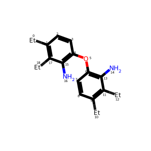 CCc1ccc(Oc2ccc(CC)c(CC)c2N)c(N)c1CC